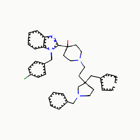 OC1(c2nc3ccccc3n2Cc2ccc(F)cc2)CCN(CCC2(Cc3ccccc3)CCN(Cc3ccccc3)C2)CC1